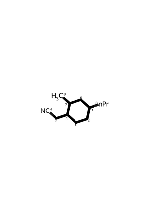 CCCC1CCC(CC#N)C(C)C1